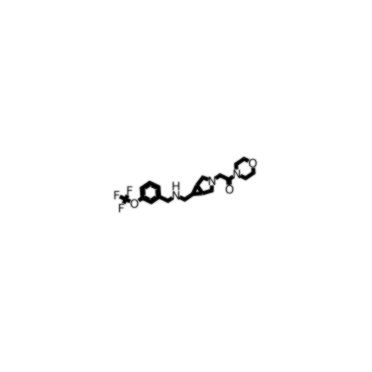 O=C(CN1CC2C(CNCc3cccc(OC(F)(F)F)c3)C2C1)N1CCOCC1